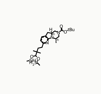 C[SiH2]OC(O[SiH2]C)C(C)(C)CCc1ccc2c(n1)N1[C@H](C2)CN(C(=O)OC(C)(C)C)C[C@H]1C